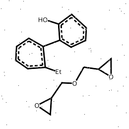 C(OCC1CO1)C1CO1.CCc1ccccc1-c1ccccc1O